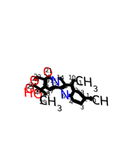 C#Cc1ccc2nc3c(c(CC)c2c1)Cn1c-3cc2c(c1=O)COC(=O)[C@]2(O)CC